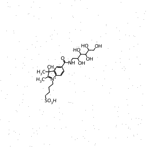 CC1=[N+](CCCCS(=O)(=O)O)c2ccc(C(=O)NCC(O)C(O)C(O)C(O)CO)cc2C1(C)C